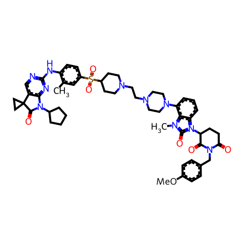 COc1ccc(CN2C(=O)CCC(n3c(=O)n(C)c4c(N5CCN(CCN6CCC(S(=O)(=O)c7ccc(Nc8ncc9c(n8)N(C8CCCC8)C(=O)C98CC8)c(C)c7)CC6)CC5)cccc43)C2=O)cc1